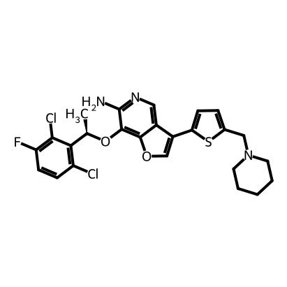 C[C@@H](Oc1c(N)ncc2c(-c3ccc(CN4CCCCC4)s3)coc12)c1c(Cl)ccc(F)c1Cl